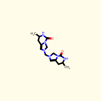 CC1CC2=CN(CN3C=C4CC(C)NC(=O)N4C3)CN2C(=O)N1